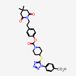 CC1(C)CC(=O)N(CCc2ccc(OC(=O)N3CCC(Sc4nnnn4-c4ccc(C(=O)O)cc4)CC3)cc2)C(=O)C1